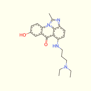 CCN(CC)CCCNc1ccc2nc(C)n3c4ccc(O)cc4c(=O)c1c23